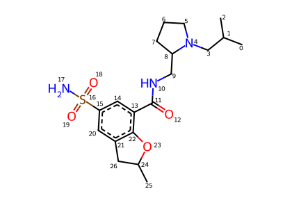 CC(C)CN1CCCC1CNC(=O)c1cc(S(N)(=O)=O)cc2c1OC(C)C2